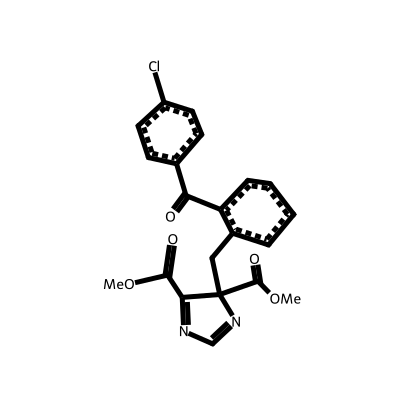 COC(=O)C1=NC=NC1(Cc1ccccc1C(=O)c1ccc(Cl)cc1)C(=O)OC